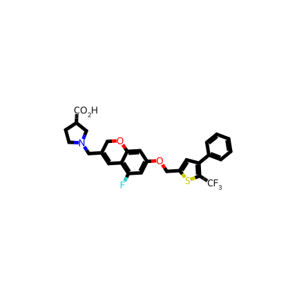 O=C(O)C1CCN(CC2=Cc3c(F)cc(OCc4cc(-c5ccccc5)c(C(F)(F)F)s4)cc3OC2)C1